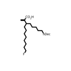 C=C(C(=O)O)C(CCCCCCCCF)CCCCCCCCCCCCCCC